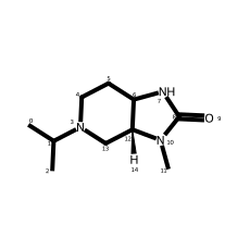 CC(C)N1CCC2NC(=O)N(C)[C@@H]2C1